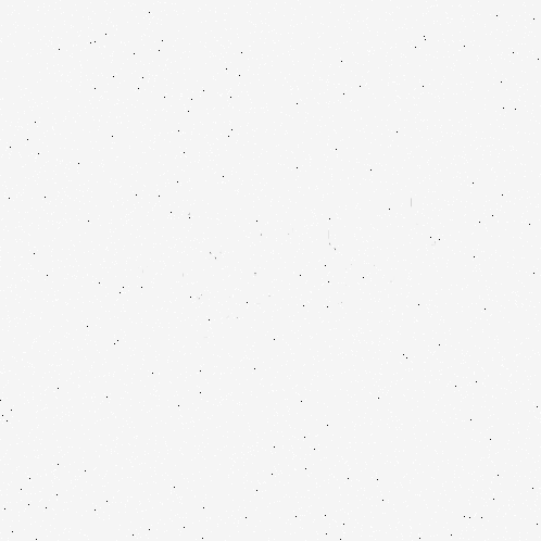 COc1cccn2c(-c3ccc(NC(=O)c4cccc(F)c4F)cc3)c(C(F)(F)F)cc12